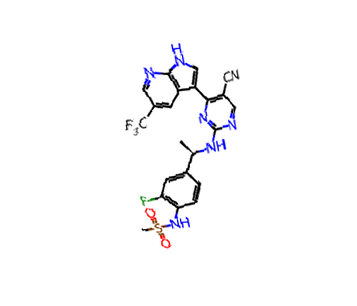 C[C@@H](Nc1ncc(C#N)c(-c2c[nH]c3ncc(C(F)(F)F)cc23)n1)c1ccc(NS(C)(=O)=O)c(F)c1